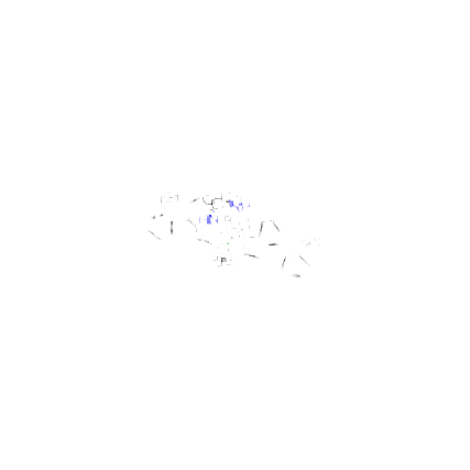 CCCc1ccccc1-c1cccc2c1C=C(C(C)CC)[CH]2[Zr]([Cl])([Cl])([B](NC=O)NC=O)[CH]1C(C(C)CC)=Cc2c(-c3ccccc3CCC)cccc21